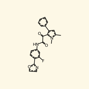 Cc1cc(-c2ccccc2)c(C(=O)C(=O)Nc2ccc(-c3ncco3)c(F)c2)n1C